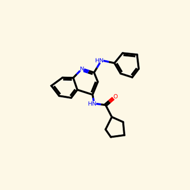 O=C(Nc1cc(Nc2ccccc2)nc2ccccc12)C1CCCC1